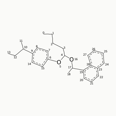 CCCCC(Oc1ccc(C(C)CC)cc1)OC(C)c1cccc2ccccc12